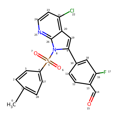 Cc1ccc(S(=O)(=O)n2c(-c3ccc(C=O)c(F)c3)cc3c(Cl)ccnc32)cc1